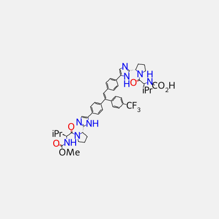 COC(=O)N[C@H](C(=O)N1CCC[C@H]1c1ncc(-c2ccc(/C(=C/c3ccc(-c4cnc([C@@H]5CCCN5C(=O)[C@@H](NC(=O)O)C(C)C)[nH]4)cc3)c3ccc(C(F)(F)F)cc3)cc2)[nH]1)C(C)C